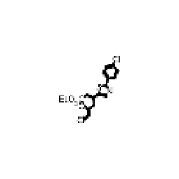 CCOC(=O)CC(CC(=O)CCl)c1cnc(-c2ccc(Cl)cc2)s1